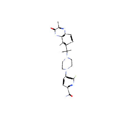 [2H]C([2H])(c1ccc2nc(C)c(=O)[nH]c2c1C)N1CCN(c2ccc(C(N)=O)nc2F)CC1